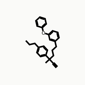 C#CC(C)(CCCc1cccc(Oc2ccccc2)c1)c1ccc(CCC)cc1